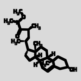 CON(C)C(=O)[C@@H](C)C[C@@H](C)[C@H]1CC[C@H]2[C@@H]3CC=C4C[C@@H](O)CC[C@]4(C)[C@H]3CC[C@]12C